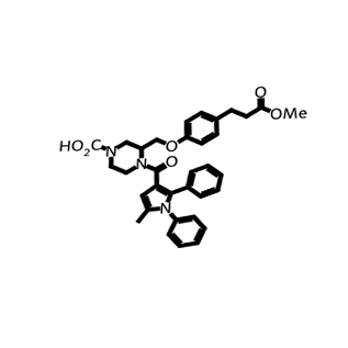 COC(=O)CCc1ccc(OCC2CN(C(=O)O)CCN2C(=O)c2cc(C)n(-c3ccccc3)c2-c2ccccc2)cc1